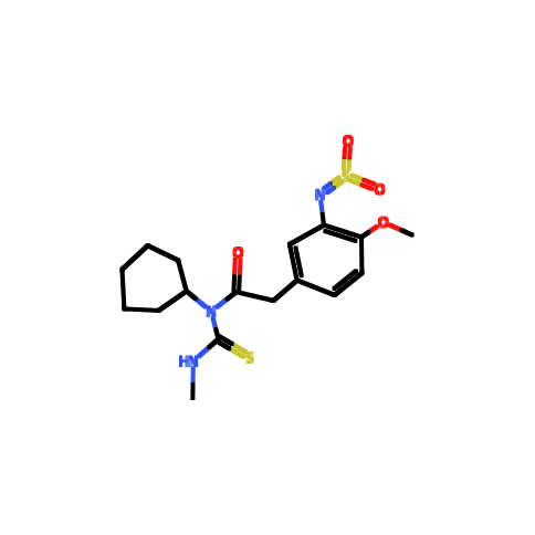 CNC(=S)N(C(=O)Cc1ccc(OC)c(N=S(=O)=O)c1)C1CCCCC1